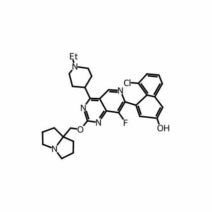 CCN1CCC(c2nc(OCC34CCCN3CCC4)nc3c(F)c(-c4cc(O)cc5cccc(Cl)c45)ncc23)CC1